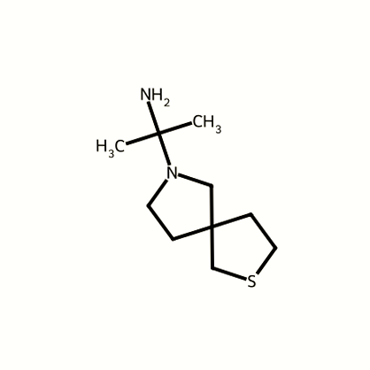 CC(C)(N)N1CCC2(CCSC2)C1